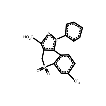 O=C(O)c1nn(-c2ccccc2)c2c1CS(=O)(=O)c1cc(C(F)(F)F)ccc1-2